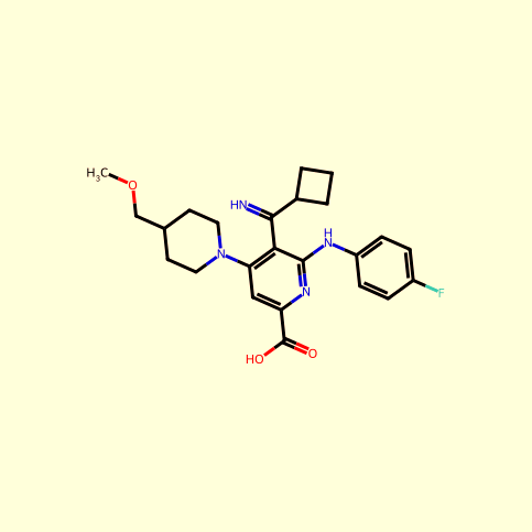 COCC1CCN(c2cc(C(=O)O)nc(Nc3ccc(F)cc3)c2C(=N)C2CCC2)CC1